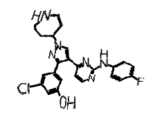 Oc1cc(Cl)cc(-c2nn(C3CCNCC3)cc2-c2ccnc(Nc3ccc(F)cc3)n2)c1